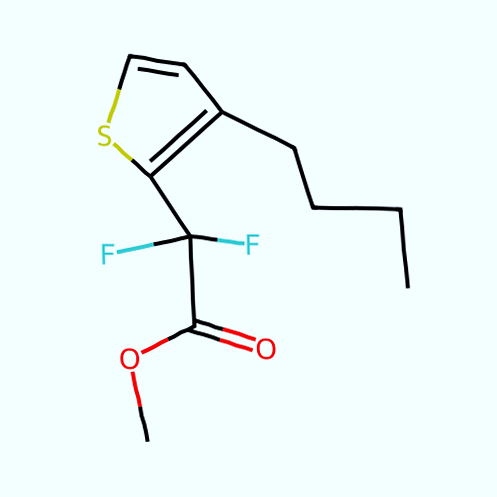 CCCCc1ccsc1C(F)(F)C(=O)OC